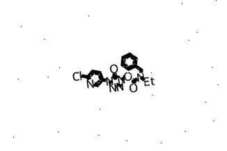 CCN(Cc1ccccc1)C(=O)On1nnn(-c2ccc(Cl)nc2)c1=O